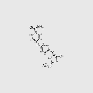 CC(=O)SC1CC(=O)N(Cc2ccc(Oc3ccc(C(N)=O)cc3)cc2)C1